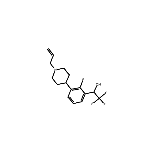 C=CCN1CCC(c2cccc(C(O)C(F)(F)F)c2F)CC1